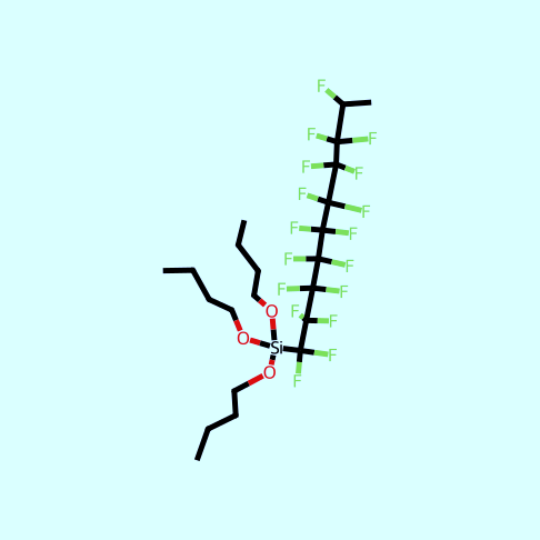 CCCCO[Si](OCCCC)(OCCCC)C(F)(F)C(F)(F)C(F)(F)C(F)(F)C(F)(F)C(F)(F)C(F)(F)C(F)(F)C(C)F